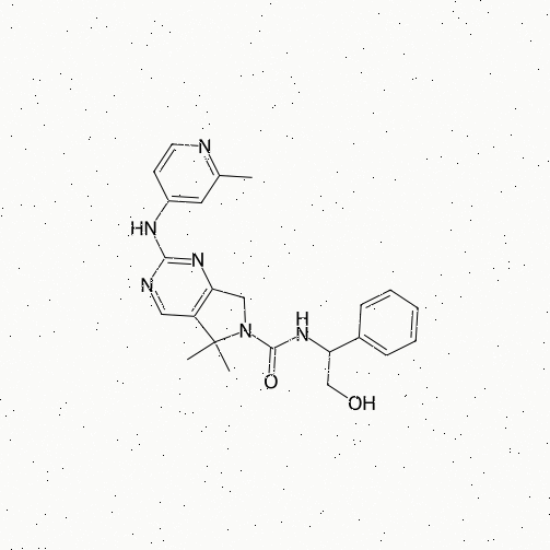 Cc1cc(Nc2ncc3c(n2)CN(C(=O)NC(CO)c2ccccc2)C3(C)C)ccn1